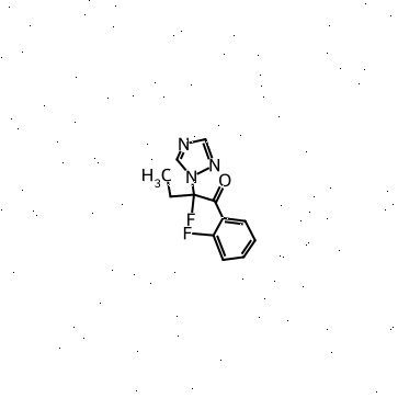 CCC(F)(C(=O)c1ccccc1F)n1cncn1